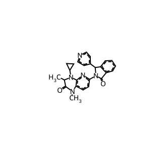 CC1C(=O)N(C)c2ccc(N3C(=O)c4ccccc4C3c3ccncc3)nc2N1C1CC1